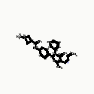 C=C/C=C\c1c(C)nc(-c2ccc(NC(=O)C3CN(C)C3)cc2)n(-c2cccnc2)c1=O